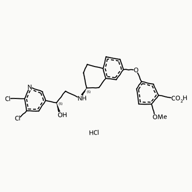 COc1ccc(Oc2ccc3c(c2)C[C@@H](NC[C@@H](O)c2cnc(Cl)c(Cl)c2)CC3)cc1C(=O)O.Cl